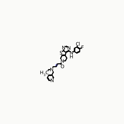 CCN(C/C=C/C(=O)N1CCc2c(sc3ncnc(Nc4ccc(F)c(Cl)c4)c23)C1)Cc1cccnc1